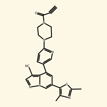 C#CC(=O)N1CCN(c2ccc(-c3cc(-c4sc(C)nc4C)cn4ncc(C#N)c34)cn2)CC1